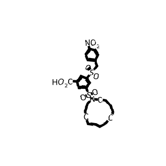 O=C(O)c1cc(S(=O)(=O)Cc2ccc([N+](=O)[O-])cc2)cc(S(=O)(=O)N2CCCCCCCCCCCC2)c1